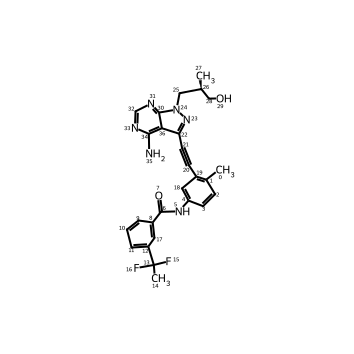 Cc1ccc(NC(=O)c2cccc(C(C)(F)F)c2)cc1C#Cc1nn(C[C@@H](C)CO)c2ncnc(N)c12